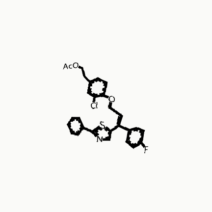 CC(=O)OCCc1ccc(OC/C=C(/c2ccc(F)cc2)c2cnc(-c3ccccc3)s2)c(Cl)c1